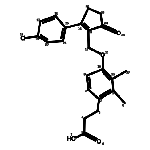 Cc1c(CCC(=O)O)ccc(OCC2=C(c3ccc(Cl)cc3)CCC2=O)c1C